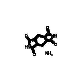 N.O=c1[nH]c(=O)c2cc3c(=O)[nH]c(=O)c3cc12